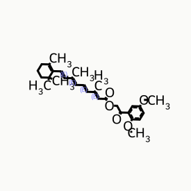 COc1ccc(OC)c(C(=O)COC(=O)/C=C(C)/C=C/C=C(C)/C=C/C2=C(C)CCCC2(C)C)c1